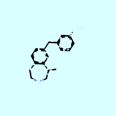 COc1cccc(Cc2ccc3c(c2)C(C)CNCC3)c1